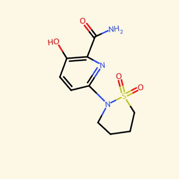 NC(=O)c1nc(N2CCCCS2(=O)=O)ccc1O